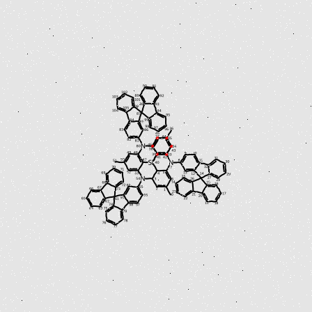 CC1=CC2C3C(=C1)N(c1ccc4c(c1)C1(c5ccccc5-c5ccccc51)c1ccccc1-4)c1cc(C)cc4c1[Si]3(c1ccccc1)c1c(cc(C)cc1N2c1ccc2c(c1)C1(c3ccccc3-c3ccccc31)c1ccccc1-2)N4c1ccc2c(c1)C1(c3ccccc3-c3ccccc31)c1ccccc1-2